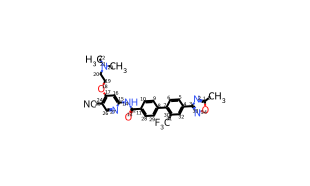 Cc1nc(-c2ccc(-c3ccc(C(=O)Nc4cc(OCCN(C)C)c(C#N)cn4)cc3)c(C(F)(F)F)c2)no1